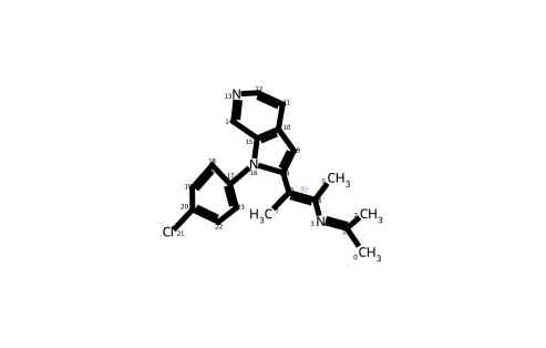 CC(C)=N/C(C)=C(\C)c1cc2ccncc2n1-c1ccc(Cl)cc1